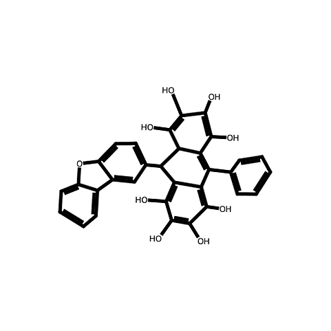 OC1=C(O)C2=C(c3ccccc3)c3c(O)c(O)c(O)c(O)c3C(c3ccc4oc5ccccc5c4c3)C2C(O)=C1O